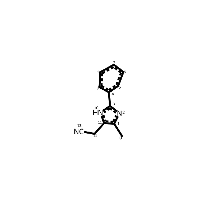 Cc1nc(-c2ccccc2)[nH]c1CC#N